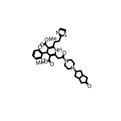 COC(=O)C1=C(CCc2nccs2)NC(CC(=O)N2CCN(C3CC4CC(=O)CC4C3)CC2)=C(C(=O)OC)C1c1c(Cl)cccc1Cl